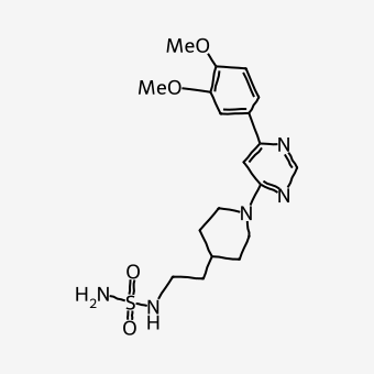 COc1ccc(-c2cc(N3CCC(CCNS(N)(=O)=O)CC3)ncn2)cc1OC